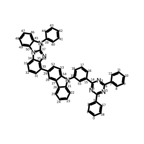 c1ccc(-c2nc(-c3ccccc3)nc(-c3cccc(-n4c5ccccc5c5cc(-c6cccc7c6nc6n(-c8ccccc8)c8ccccc8n76)ccc54)c3)n2)cc1